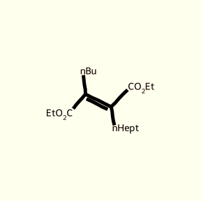 CCCCCCCC(C(=O)OCC)=C(CCCC)C(=O)OCC